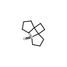 O=S1(=O)CCCC12CCC21CCCC1